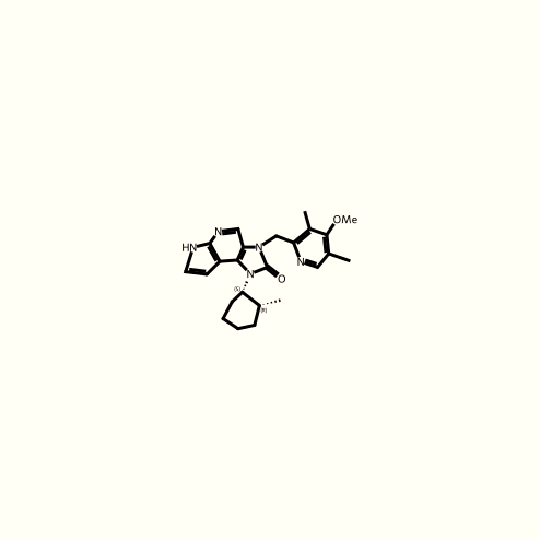 COc1c(C)cnc(Cn2c(=O)n([C@H]3CCCC[C@H]3C)c3c4cc[nH]c4ncc32)c1C